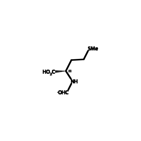 CSCC[C@H](N[C]=O)C(=O)O